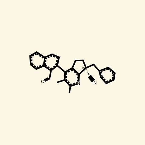 Cc1nc2c(c(-c3ccc4ccccc4c3C=O)c1C)CC[C@@]2(C#N)Cc1ccccc1